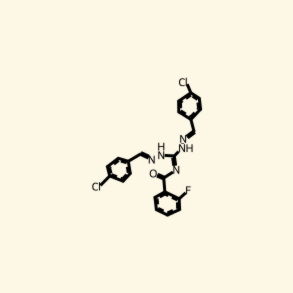 O=C(N=C(N/N=C/c1ccc(Cl)cc1)N/N=C/c1ccc(Cl)cc1)c1ccccc1F